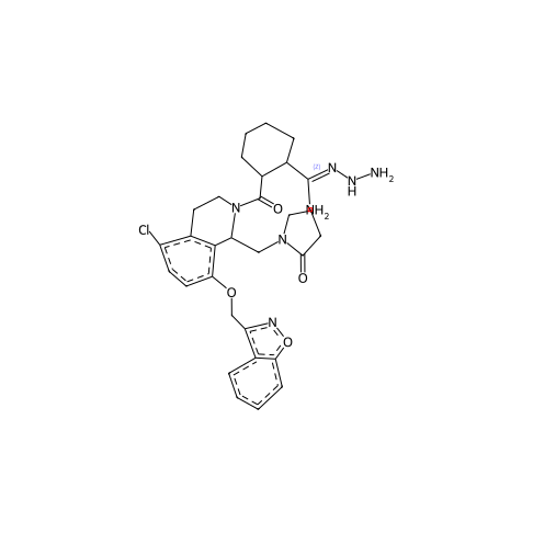 NN/N=C(\N)C1CCCCC1C(=O)N1CCc2c(Cl)ccc(OCc3noc4ccccc34)c2C1CN1CCCC1=O